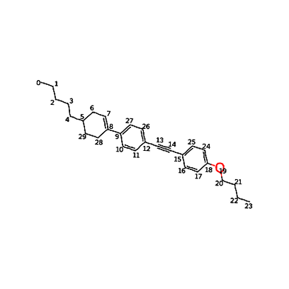 CCCCCC1CC=C(c2ccc(C#Cc3ccc(OCCCC)cc3)cc2)CC1